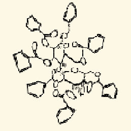 O=C(OCC1O[C@@H](OCc2ccccc2)C(OC(=O)c2ccccc2)C(OC(=O)c2ccccc2)[C@@H]1O[C@@H]1OC2COC(c3ccccc3)O[C@@H]2[C@H](OC(=O)c2ccccc2)C1OC(=O)c1ccccc1)c1ccccc1